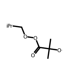 CC(C)COOC(=O)C(C)(C)[O]